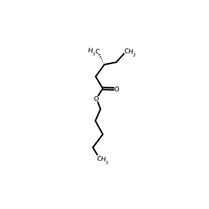 CCCCCOC(=O)C[C@H](C)CC